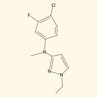 CCn1ccc(N(C)c2ccc(Cl)c(F)c2)n1